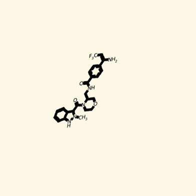 CN1NC2C=CC=CC2C1C(=O)N1CCOCC1CNC(=O)c1ccc(/C(N)=C\C(F)(F)F)cc1